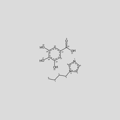 CCCCn1ccnc1.O=C(O)c1cc(O)c(O)c(O)c1